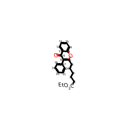 CCOC(=O)CCCCCc1oc2ccccc2c(=O)c1-c1ccccc1